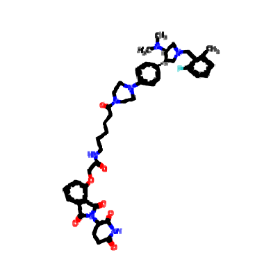 Cc1cccc(F)c1CN1C[C@H](c2ccc(N3CCN(C(=O)CCCCCNC(=O)COc4cccc5c4C(=O)N(C4CCC(=O)NC4=O)C5=O)CC3)cc2)[C@@H](N(C)C)C1